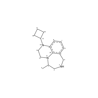 CC1CNCc2cccc3c2N1CCN3C1CCC1